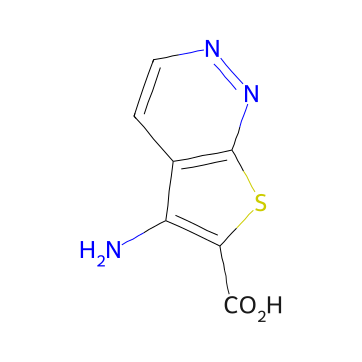 Nc1c(C(=O)O)sc2nnccc12